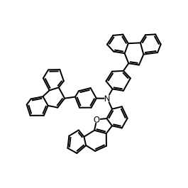 c1ccc2c(c1)cc(-c1ccc(N(c3ccc(-c4cc5ccccc5c5ccccc45)cc3)c3cccc4c3oc3c5ccccc5ccc43)cc1)c1ccccc12